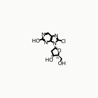 OC[C@@H]1O[C@@H](n2c(Cl)nc3cnc(O)nc32)C[C@H]1O